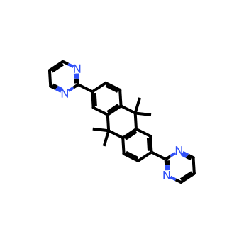 CC1(C)c2ccc(-c3ncccn3)cc2C(C)(C)c2ccc(-c3ncccn3)cc21